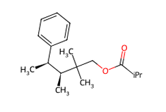 CC(C)C(=O)OCC(C)(C)[C@@H](C)[C@@H](C)c1ccccc1